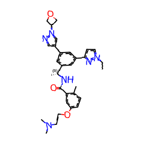 CCn1ccc(-c2cc(-c3cnn(C4COC4)c3)cc([C@@H](C)NC(=O)c3cc(OCCN(C)C)ccc3C)c2)n1